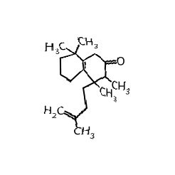 C=C(C)CCC1(C)C2=C(CC(=O)C1C)C(C)(C)CCC2